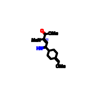 CN/C(=C\C(=N)C1CCC(=COC)CC1)C(=O)OC